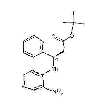 CC(C)(C)OC(=O)C[C@@H](Nc1ccccc1N)c1ccccc1